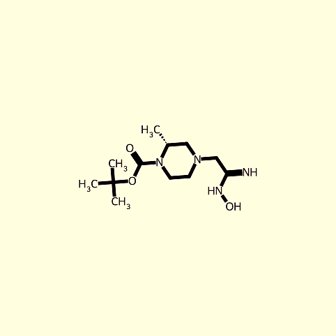 C[C@@H]1CN(CC(=N)NO)CCN1C(=O)OC(C)(C)C